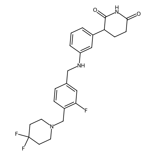 O=C1CCC(c2cccc(NCc3ccc(CN4CCC(F)(F)CC4)c(F)c3)c2)C(=O)N1